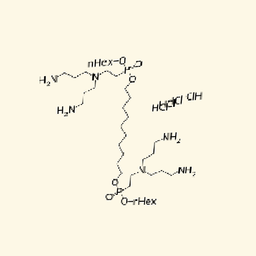 CCCCCCOP(=O)(CCN(CCCN)CCCN)OCCCCCCCCCCOP(=O)(CCN(CCCN)CCCN)OCCCCCC.Cl.Cl.Cl.Cl